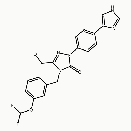 O=c1n(-c2ccc(-c3c[nH]cn3)cc2)nc(CO)n1Cc1cccc(OC(F)F)c1